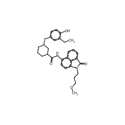 CCc1cc(SN2CCCC(C(=O)Nc3ccc4c5c(cccc35)C(=O)N4CCCOC)C2)ccc1O